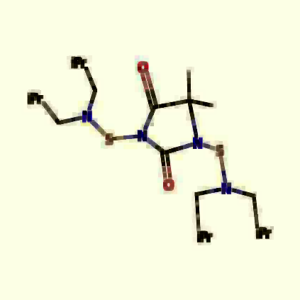 CC(C)CN(CC(C)C)SN1C(=O)N(SN(CC(C)C)CC(C)C)C(C)(C)C1=O